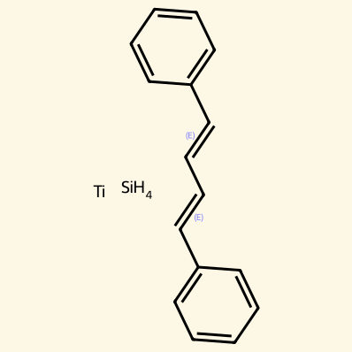 C(/C=C/c1ccccc1)=C\c1ccccc1.[SiH4].[Ti]